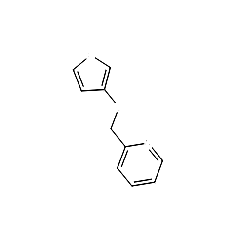 [c]1occc1OCc1ccccn1